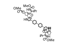 COC(=O)N[C@H](C(=O)N1CC2(CC1c1nc(-c3ccc(-c4ccc(-c5c[nH]c([C@]6(C(=O)[C@@H](NC(=O)OC)C(C)C)CCCN6)n5)cc4)cc3)c[nH]1)CN(C(=O)OC)C2)C(C)C